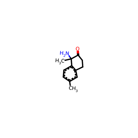 Cc1ccc2c(c1)CCC(=O)C2(C)N